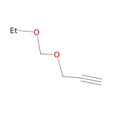 C#CCOCOCC